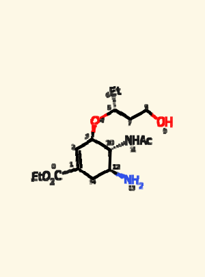 CCOC(=O)C1=C[C@@H](O[C@H](CC)CCO)[C@H](NC(C)=O)[C@@H](N)C1